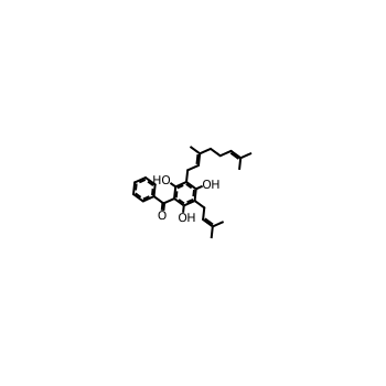 CC(C)=CCC/C(C)=C/Cc1c(O)c(CC=C(C)C)c(O)c(C(=O)c2ccccc2)c1O